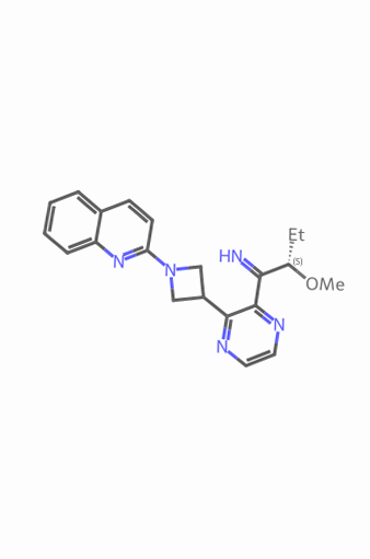 CC[C@H](OC)C(=N)c1nccnc1C1CN(c2ccc3ccccc3n2)C1